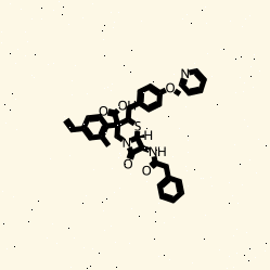 C=Cc1ccc(C2(C(=O)O)CN3C(=O)C(NC(=O)Cc4ccccc4)[C@H]3SC2Cc2ccc(OC)cc2)c(C)c1.c1ccncc1